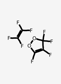 FC(F)=C(F)F.FC1=C(F)C(F)(F)OO1